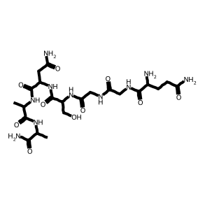 CC(NC(=O)C(C)NC(=O)C(CC(N)=O)NC(=O)C(CO)NC(=O)CNC(=O)CNC(=O)C(N)CCC(N)=O)C(N)=O